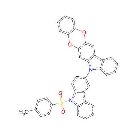 Cc1ccc(S(=O)(=O)n2c3ccccc3c3cc(-n4c5ccccc5c5cc6c(cc54)Oc4ccccc4O6)ccc32)cc1